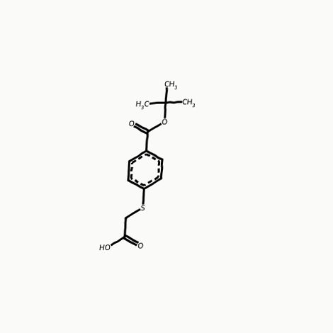 CC(C)(C)OC(=O)c1ccc(SCC(=O)O)cc1